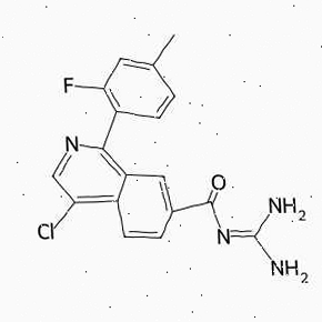 Cc1ccc(-c2ncc(Cl)c3ccc(C(=O)N=C(N)N)cc23)c(F)c1